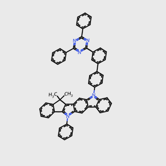 CC1(C)c2ccccc2-c2c1c1cc3c(cc1n2-c1ccccc1)c1ccccc1n3-c1ccc(-c2cccc(-c3nc(-c4ccccc4)nc(-c4ccccc4)n3)c2)cc1